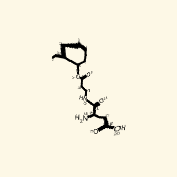 CC1CCCCC1OC(=O)CCNC(=O)C(N)CC(=O)O